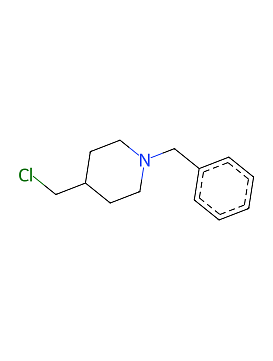 ClCC1CCN(Cc2ccccc2)CC1